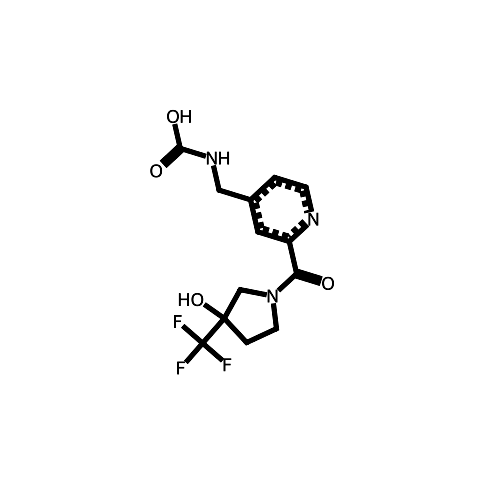 O=C(O)NCc1ccnc(C(=O)N2CCC(O)(C(F)(F)F)C2)c1